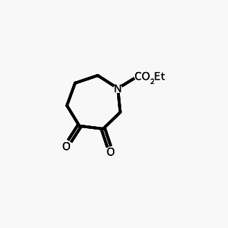 CCOC(=O)N1CCCC(=O)C(=O)C1